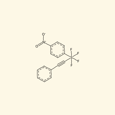 O=[N+]([O-])c1ccc(S(F)(F)(F)(F)C#Cc2ccccc2)cc1